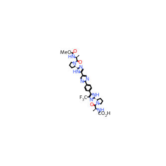 COC(=O)N[C@@H](C)C(=O)N1CCC[C@H]1c1ncc(-c2cnc(-c3ccc(-c4[nH]c([C@@H]5CCCN5C(=O)[C@H](C)NC(=O)O)nc4C(F)(F)F)cc3)nc2)[nH]1